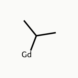 C[CH](C)[Gd]